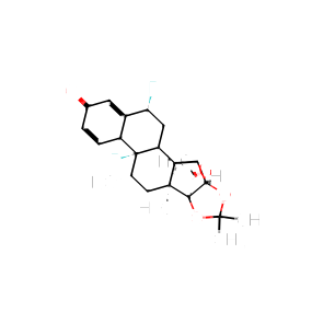 CC(=O)[C@@]12OC(C)(C)O[C@@H]1CC1C3C[C@H](F)C4=CC(=O)C=CC4[C@@]3(F)[C@@H](C)C[C@@]12C